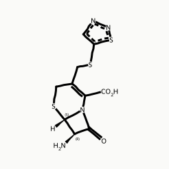 N[C@@H]1C(=O)N2C(C(=O)O)=C(CSc3cnns3)CS[C@@H]12